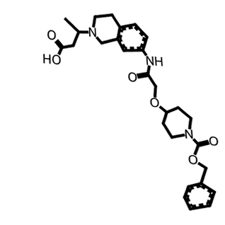 CC(CC(=O)O)N1CCc2ccc(NC(=O)COC3CCN(C(=O)OCc4ccccc4)CC3)cc2C1